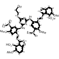 CCN(CC)c1cc(Nc2nc(Nc3cc(N(CC)CC)c(OC)cc3/N=N/c3snc4ccc(OC)c(S(=O)(=O)O)c34)nc(SCCO)n2)c(/N=N/c2snc3ccc(OC)c(S(=O)(=O)O)c23)cc1OC